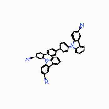 N#Cc1ccc(-c2ccc(C3C=CC(n4c5ccccc5c5cc(C#N)ccc54)=CC3)cc2)c(-n2c3ccccc3c3cc(C#N)ccc32)c1